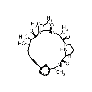 CC(C)[C@@H]1NC(=O)[C@H](C)C(O)CC/C=C/c2cccc(c2)[C@@H](C)NC(=O)[C@@H]2CCCN(N2)C(=O)[C@H](C)NC1=O